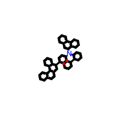 c1ccc(-c2ccccc2N(c2ccc(-c3cc4ccc5ccccc5c4c4ccccc34)cc2)c2cc3ccccc3c3ccccc23)cc1